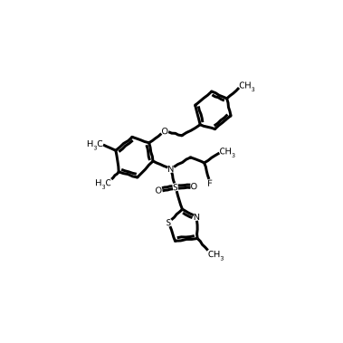 Cc1ccc(COc2cc(C)c(C)cc2N(CC(C)F)S(=O)(=O)c2nc(C)cs2)cc1